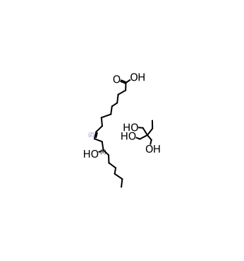 CCC(CO)(CO)CO.CCCCCC[C@@H](O)C/C=C\CCCCCCCC(=O)O